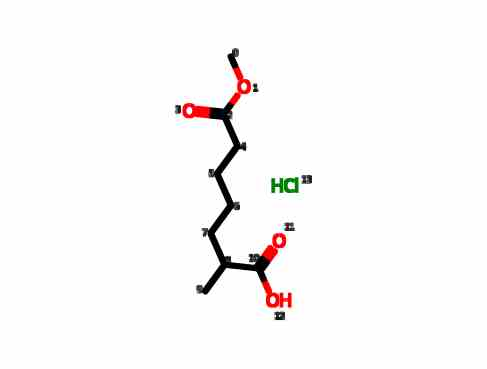 COC(=O)CCCCC(C)C(=O)O.Cl